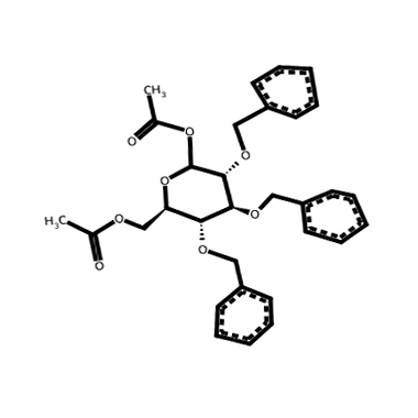 CC(=O)OC[C@H]1OC(OC(C)=O)[C@H](OCc2ccccc2)[C@@H](OCc2ccccc2)[C@@H]1OCc1ccccc1